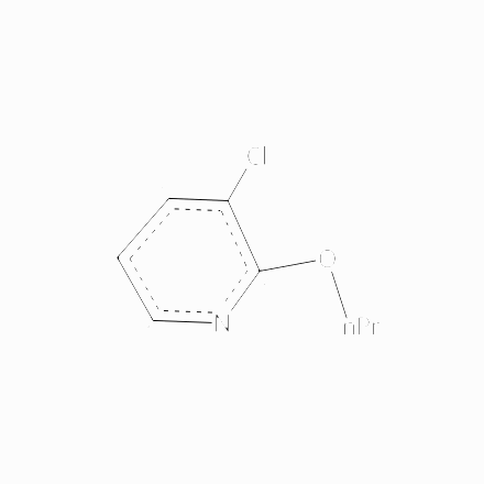 CCCOc1ncccc1Cl